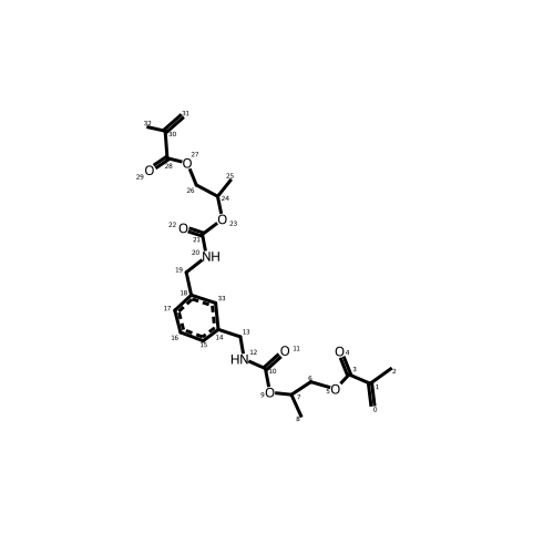 C=C(C)C(=O)OCC(C)OC(=O)NCc1cccc(CNC(=O)OC(C)COC(=O)C(=C)C)c1